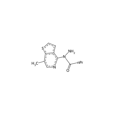 CCCC(=O)N(N)c1ncc(C)c2sccc12